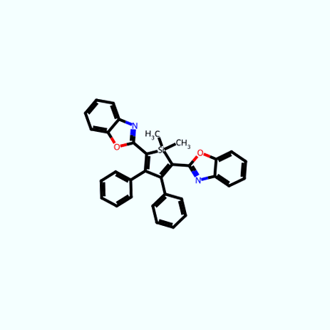 C[Si]1(C)C(c2nc3ccccc3o2)=C(c2ccccc2)C(c2ccccc2)=C1c1nc2ccccc2o1